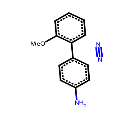 COc1ccccc1-c1ccc(N)cc1.N#N